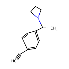 C#Cc1ccc([C@@H](C)N2CCC2)cc1